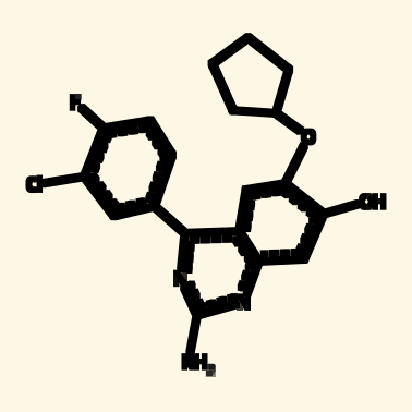 Nc1nc(-c2ccc(F)c(Cl)c2)c2cc(OC3CCCC3)c(O)cc2n1